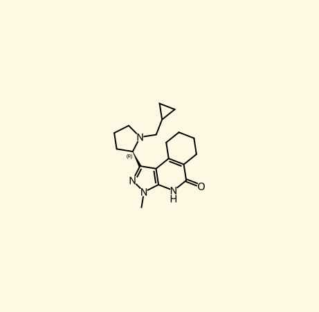 Cn1nc([C@H]2CCCN2CC2CC2)c2c3c(c(=O)[nH]c21)CCCC3